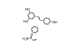 C=CC(N)=O.Oc1ccc(C=Cc2cc(O)cc(O)c2)cc1.c1ccccc1